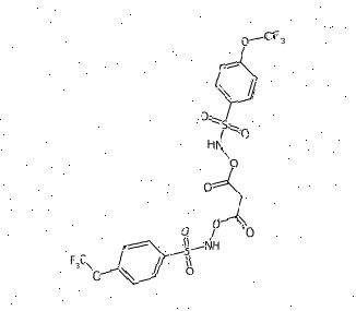 O=C(CC(=O)ONS(=O)(=O)c1ccc(OC(F)(F)F)cc1)ONS(=O)(=O)c1ccc(OC(F)(F)F)cc1